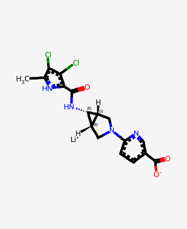 Cc1[nH]c(C(=O)N[C@@H]2[C@@H]3CN(c4ccc(C(=O)[O-])cn4)C[C@@H]32)c(Cl)c1Cl.[Li+]